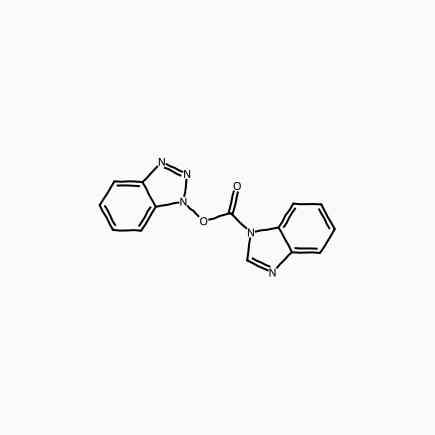 O=C(On1nnc2ccccc21)n1cnc2ccccc21